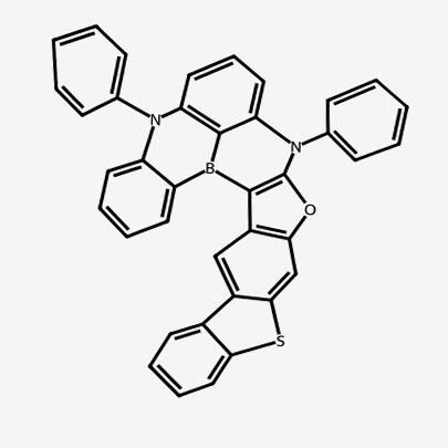 c1ccc(N2c3ccccc3B3c4c2cccc4N(c2ccccc2)c2oc4cc5sc6ccccc6c5cc4c23)cc1